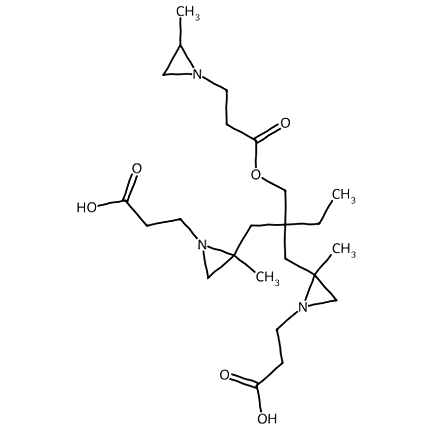 CCC(COC(=O)CCN1CC1C)(CC1(C)CN1CCC(=O)O)CC1(C)CN1CCC(=O)O